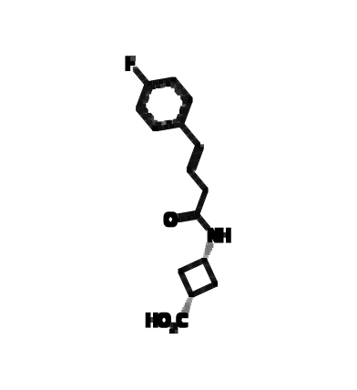 O=C(C/C=C/c1ccc(F)cc1)N[C@H]1C[C@@H](C(=O)O)C1